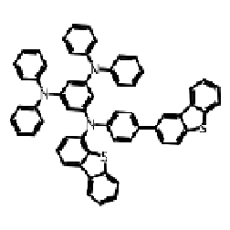 c1ccc(N(c2ccccc2)c2cc(N(c3ccccc3)c3ccccc3)cc(N(c3ccc(-c4ccc5sc6ccccc6c5c4)cc3)c3cccc4c3sc3ccccc34)c2)cc1